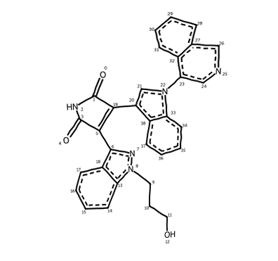 O=C1NC(=O)C(c2nn(CCCO)c3ccccc23)=C1c1cn(-c2cncc3ccccc23)c2ccccc12